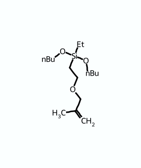 C=C(C)COCC[Si](CC)(OCCCC)OCCCC